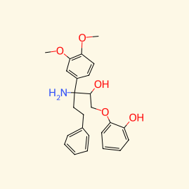 COc1ccc(C(N)(CCc2ccccc2)C(O)COc2ccccc2O)cc1OC